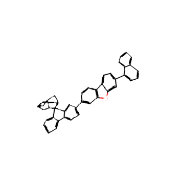 c1ccc2c(c1)-c1ccc(-c3ccc4c(c3)oc3cc(-c5cccc6ccccc56)ccc34)cc1C21C2CC3CC(C2)C1C3